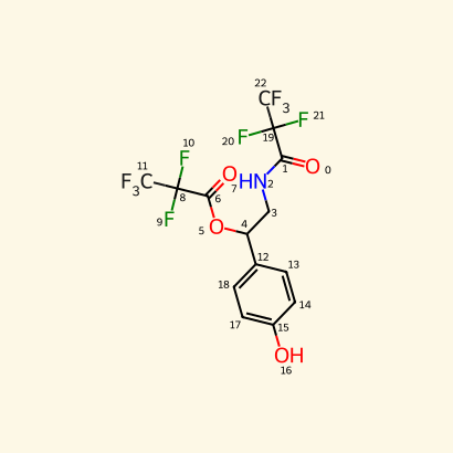 O=C(NCC(OC(=O)C(F)(F)C(F)(F)F)c1ccc(O)cc1)C(F)(F)C(F)(F)F